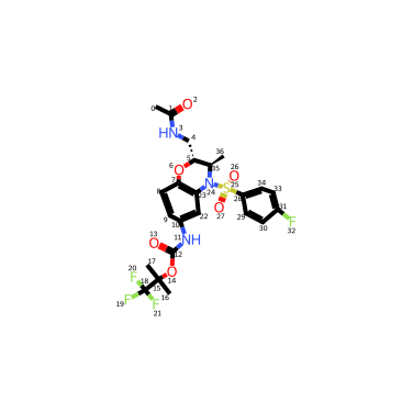 CC(=O)NC[C@H]1Oc2ccc(NC(=O)OC(C)(C)C(F)(F)F)cc2N(S(=O)(=O)c2ccc(F)cc2)[C@@H]1C